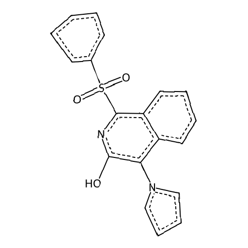 O=S(=O)(c1ccccc1)c1nc(O)c(-n2cccc2)c2ccccc12